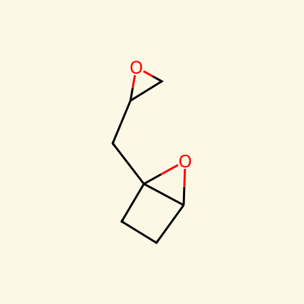 C1OC1CC12CCC1O2